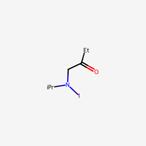 CCC(=O)CN(I)C(C)C